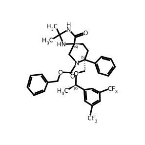 C[C@@H](OC[C@@]1(c2ccccc2)CC[C@@]2(CN1C(=O)OCc1ccccc1)NC(C)(C)NC2=O)c1cc(C(F)(F)F)cc(C(F)(F)F)c1